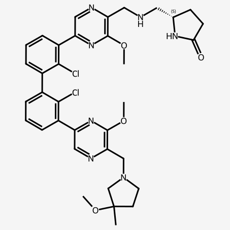 COc1nc(-c2cccc(-c3cccc(-c4cnc(CN5CCC(C)(OC)C5)c(OC)n4)c3Cl)c2Cl)cnc1CNC[C@@H]1CCC(=O)N1